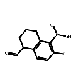 O=CC1CCCc2c1ccc(F)c2P(S)Cl